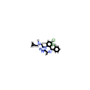 CC1N=C(c2ccccc2Cl)c2cc(Cl)ccc2-n2c(CN(C)CC3CC3)nnc21